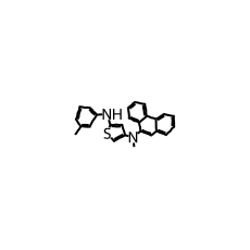 Cc1cccc(Nc2cc(N(C)c3cc4ccccc4c4ccccc34)cs2)c1